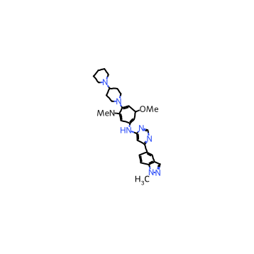 CNC1=CC(Nc2cc(-c3ccc4c(cnn4C)c3)ncn2)=CC(OC)C=C1N1CCC(N2CCCCC2)CC1